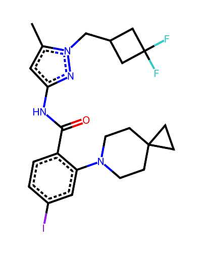 Cc1cc(NC(=O)c2ccc(I)cc2N2CCC3(CC2)CC3)nn1CC1CC(F)(F)C1